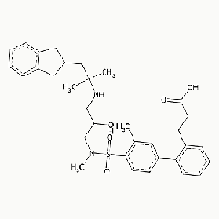 Cc1cc(-c2ccccc2CCC(=O)O)ccc1S(=O)(=O)N(C)CC(O)CNC(C)(C)CC1Cc2ccccc2C1